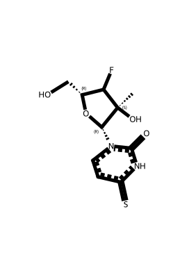 C[C@@]1(O)C(F)[C@@H](CO)O[C@H]1n1ccc(=S)[nH]c1=O